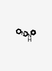 c1ccc(NC2CCN(C3CCCCC3)CC2)cc1